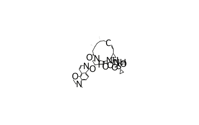 C[C@@H]1CC/C=C\C2C[C@@]2(C(=O)NS(=O)(=O)C2CC2)NC(=O)[C@@H]2C[C@@H](Oc3nccc4c5c(ccc34)N(C)CCO5)CN2C(=O)C[C@H](C)C1